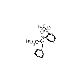 CS(=O)(=O)c1ccccc1NC(Cc1ccccc1)C(=O)O